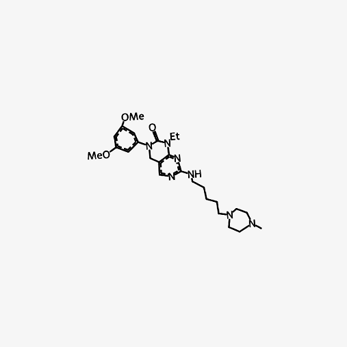 CCN1C(=O)N(c2cc(OC)cc(OC)c2)Cc2cnc(NCCCCCN3CCN(C)CC3)nc21